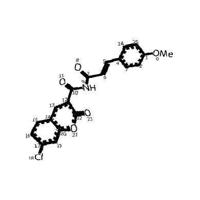 COc1ccc(/C=C/C(=O)NC(=O)c2cc3ccc(Cl)cc3oc2=O)cc1